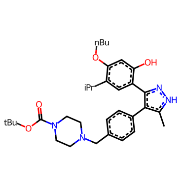 CCCCOc1cc(O)c(-c2n[nH]c(C)c2-c2ccc(CN3CCN(C(=O)OC(C)(C)C)CC3)cc2)cc1C(C)C